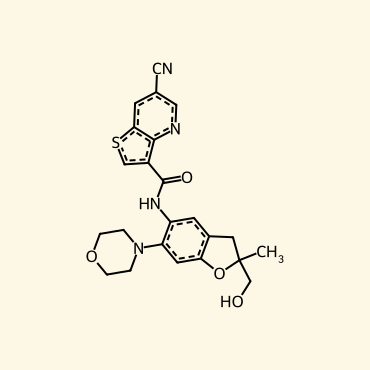 CC1(CO)Cc2cc(NC(=O)c3csc4cc(C#N)cnc34)c(N3CCOCC3)cc2O1